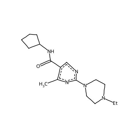 CCN1CCN(c2ncc(C(=O)NC3CCCC3)c(C)n2)CC1